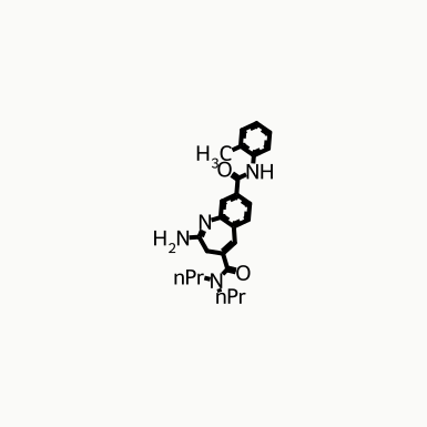 CCCN(CCC)C(=O)C1=Cc2ccc(C(=O)Nc3ccccc3C)cc2N=C(N)C1